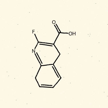 O=C(O)C1=C(F)N=C2CC=CC=C2C1